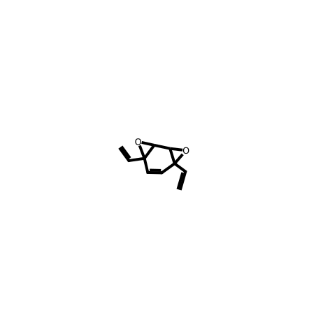 C=CC12C=CC3(C=C)OC3C1O2